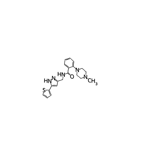 CN1CCN(c2ccccc2C(=O)NCc2cc(-c3cccs3)[nH]n2)CC1